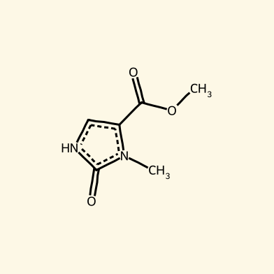 COC(=O)c1c[nH]c(=O)n1C